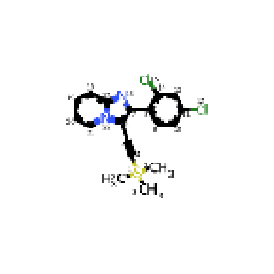 CS(C)(C)C#Cc1c(-c2ccc(Cl)cc2Cl)nc2ccccn12